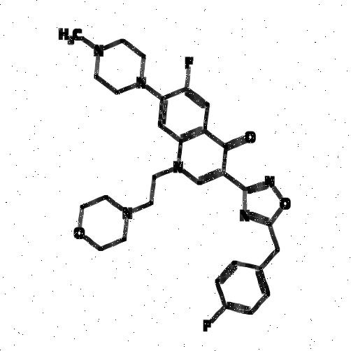 CN1CCN(c2cc3c(cc2F)c(=O)c(-c2noc(Cc4ccc(F)cc4)n2)cn3CCN2CCOCC2)CC1